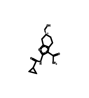 NC(=O)c1c(NC(=O)C2CC2)sc2c1CC[C@@H](CO)C2